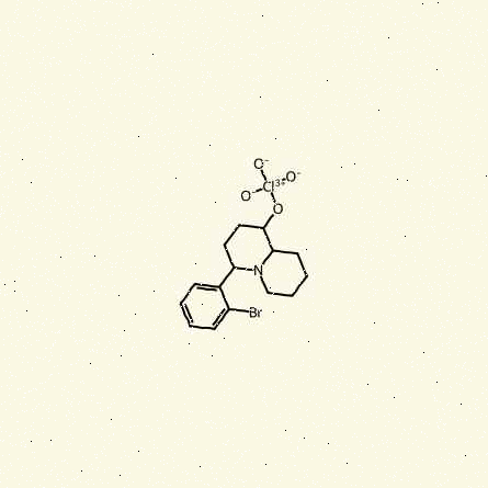 [O-][Cl+3]([O-])([O-])OC1CCC(c2ccccc2Br)N2CCCCC12